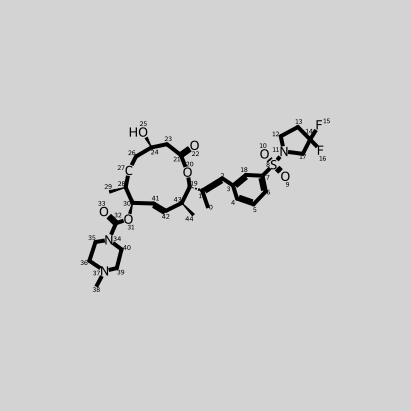 C/C(=C\c1cccc(S(=O)(=O)N2CCC(F)(F)C2)c1)[C@H]1OC(=O)C[C@H](O)CC[C@H](C)[C@H](OC(=O)N2CCN(C)CC2)/C=C/[C@@H]1C